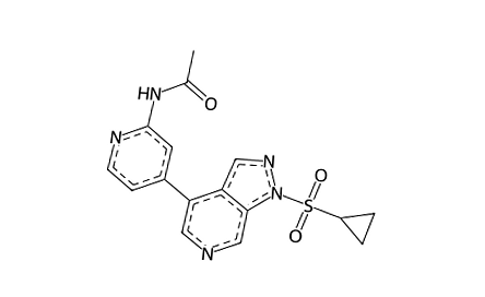 CC(=O)Nc1cc(-c2cncc3c2cnn3S(=O)(=O)C2CC2)ccn1